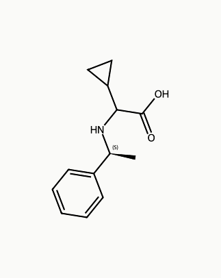 C[C@H](NC(C(=O)O)C1CC1)c1ccccc1